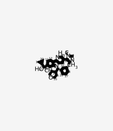 Cc1ncn(C)c1-c1cnc2c3ccc(C(C)(O)C4CC4)cc3n([C@H](c3ccccc3)C3CCOCC3)c2c1